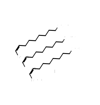 CCCCCCCC/C=C\CCCCCCCC(=O)[O-].CCCCCCCC/C=C\CCCCCCCC(=O)[O-].CCCCCCCC/C=C\CCCCCCCC(=O)[O-].[Tm+3]